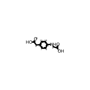 O=C(O)CNc1ccc(CC(=O)O)cc1